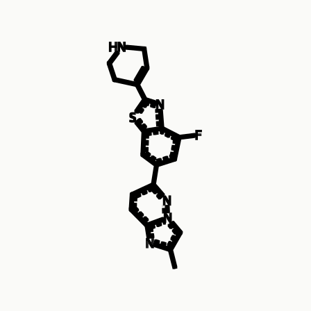 Cc1cn2nc(-c3cc(F)c4nc(C5=CCNCC5)sc4c3)ccc2n1